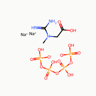 CN(CC(=O)O)C(=N)N.O=P([O-])(O)OP(=O)(O)OP(=O)(O)OP(=O)([O-])O.[Na+].[Na+]